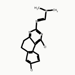 CN(C)C=Nc1nc(Cl)c2c(n1)CCc1cc(Cl)ccc1-2